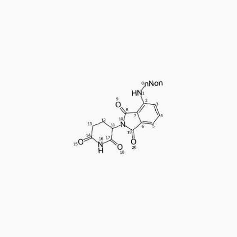 [CH2]CCCCCCCCNc1cccc2c1C(=O)N(C1CCC(=O)NC1=O)C2=O